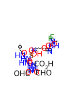 C#C[C@H]1CC(F)(F)CN1C(=O)CNC(=O)c1ccnc2ccc(OCCCCC3CCN(C(=O)C(O)CSCCNC(=O)C(CCCCNC(=O)CCCc4ccc(C)cc4)NC(=O)CN4CCN(COC=O)CCN(COC=O)CCN(CC(=O)O)CC4)CC3)cc12